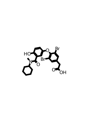 CN(C(=O)c1cc(Oc2c(Br)cc(CC(=O)O)cc2Br)ccc1O)C1CCCCC1